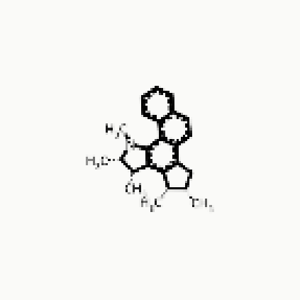 C[C@@H]1c2c3c(c4c(ccc5ccccc54)c2C[C@@H]1C)N(C)[C@@H](C)[C@H]3C